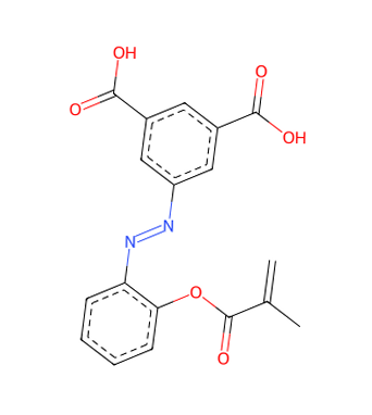 C=C(C)C(=O)Oc1ccccc1N=Nc1cc(C(=O)O)cc(C(=O)O)c1